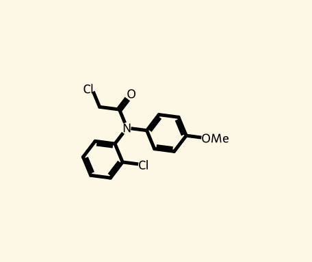 COc1ccc(N(C(=O)CCl)c2ccccc2Cl)cc1